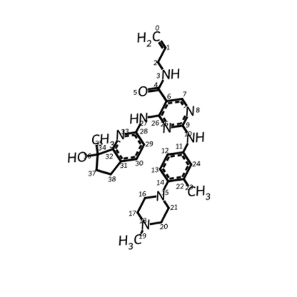 C=CCNC(=O)c1cnc(Nc2ccc(N3CCN(C)CC3)c(C)c2)nc1Nc1ccc2c(n1)C(C)(O)CC2